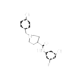 O=C(Nc1cc(F)cc(Cl)c1)C1CCN(Cc2ccc(Cl)cc2)CC1